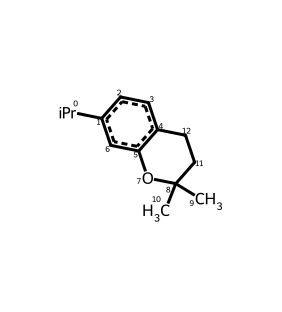 CC(C)c1ccc2c(c1)OC(C)(C)CC2